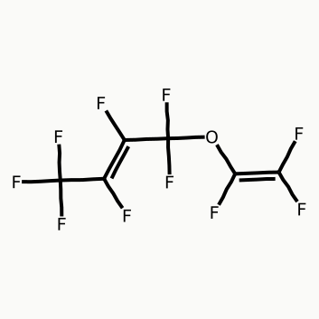 FC(F)=C(F)OC(F)(F)/C(F)=C(\F)C(F)(F)F